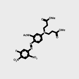 COC(=O)CCN(CCC(=O)OC)c1ccc(/N=N/c2cc(F)c([N+](=O)[O-])cc2[N+](=O)[O-])c(NC(C)=O)c1